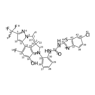 CC(C)n1nc(C(F)(F)F)cc1-c1c(F)cc(O)c2c1C(C)(C)CN2c1ccccc1NC(=O)Nc1nc2ccc(Cl)cc2s1